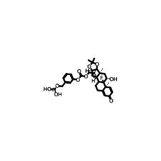 CC1(C)O[C@@H]2C[C@H]3C4CCC5=CC(=O)C=C[C@]5(C)[C@@]4(F)[C@@H](O)C[C@]3(C)[C@]2(C(=O)COC(=O)Oc2cccc(CON(O)O)c2)O1